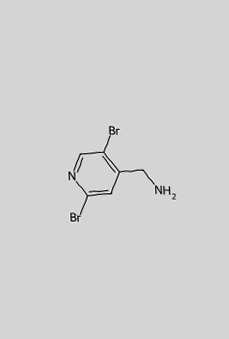 NCc1cc(Br)ncc1Br